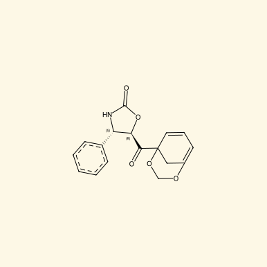 O=C1N[C@@H](c2ccccc2)[C@H](C(=O)C23C=CC=C(C2)OCO3)O1